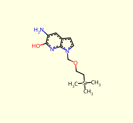 C[Si](C)(C)CCOCn1ccc2cc(N)c(O)nc21